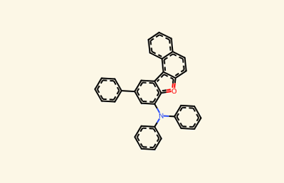 c1ccc(-c2cc(N(c3ccccc3)c3ccccc3)c3oc4ccc5ccccc5c4c3c2)cc1